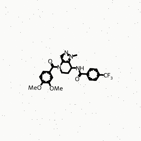 COc1ccc(C(=O)N2CCC(NC(=O)c3ccc(C(F)(F)F)cc3)c3c2cnn3C)cc1OC